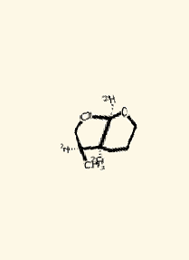 [2H][C@]12OCC[C@@]1([2H])[C@@]([2H])(C)CO2